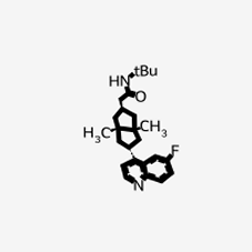 CC(C)(C)NC(=O)C[C@@H]1C[C@@]2(C)C[C@@H](c3ccnc4ccc(F)cc34)C[C@@]2(C)C1